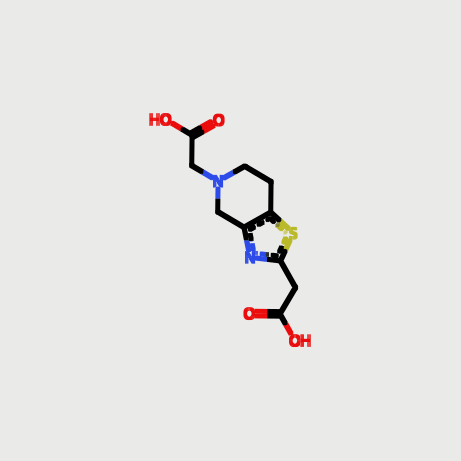 O=C(O)Cc1nc2c(s1)CCN(CC(=O)O)C2